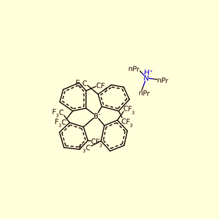 CCC[NH+](CCC)CCC.FC(F)(F)c1cccc(C(F)(F)F)c1[B-](c1c(C(F)(F)F)cccc1C(F)(F)F)(c1c(C(F)(F)F)cccc1C(F)(F)F)c1c(C(F)(F)F)cccc1C(F)(F)F